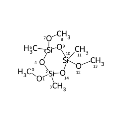 CO[Si]1(C)O[Si](C)(OC)O[Si](C)(OC)O1